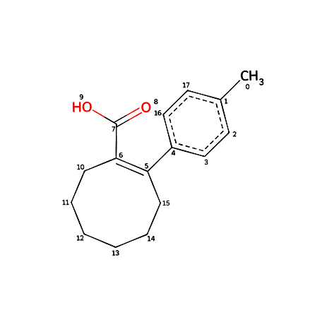 Cc1ccc(C2=C(C(=O)O)CCCCCC2)cc1